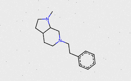 CN1CCC2CCN(CCc3ccccc3)CC21